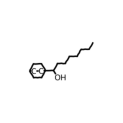 CCCCCCCC(O)C12CCC(CC1)CC2